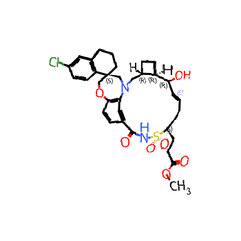 COC(=O)CC[C@@H]1CC/C=C/[C@H](O)[C@@H]2CC[C@H]2CN2C[C@@]3(CCCc4cc(Cl)ccc43)COc3ccc(cc32)C(=O)NS1(=O)=O